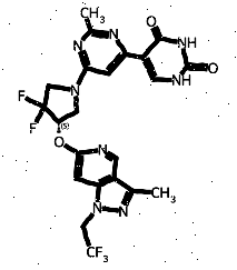 Cc1nc(-c2c[nH]c(=O)[nH]c2=O)cc(N2C[C@H](Oc3cc4c(cn3)c(C)nn4CC(F)(F)F)C(F)(F)C2)n1